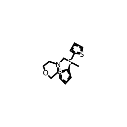 CS(CN1CCOCC1)(c1cccs1)c1cccs1